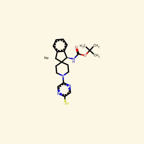 CC(C)(C)OC(=O)N[C@@H]1c2ccccc2CC12CCN(c1cnc(S)cn1)CC2.[Na]